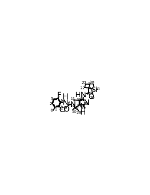 Cc1ccc(F)c(NC(=O)N2Cc3c(NC(=O)C4([Si](C)(C)C)CCC4)n[nH]c3C2(C)C)c1Cl